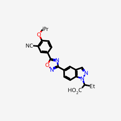 CCC(C(=O)O)n1ncc2cc(-c3noc(-c4ccc(OC(C)C)c(C#N)c4)n3)ccc21